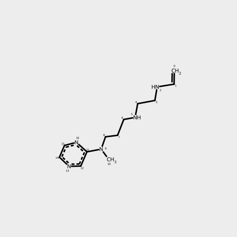 C=CNCCNCCCN(C)c1cnccn1